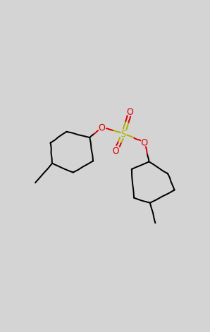 CC1CCC(OS(=O)(=O)OC2CCC(C)CC2)CC1